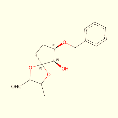 CC1O[C@@]2(CC[C@@H](OCc3ccccc3)[C@H]2O)OC1C=O